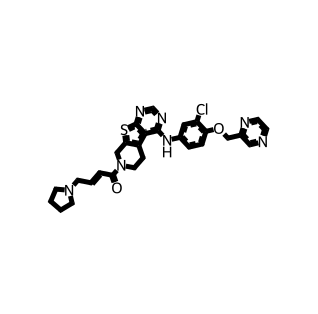 O=C(C=CCN1CCCC1)N1CCc2c(sc3ncnc(Nc4ccc(OCc5cnccn5)c(Cl)c4)c23)C1